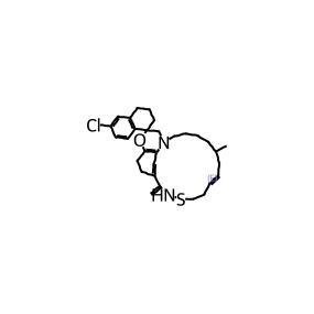 C=C1NSCC/C=C/CC(C)CCCCN2CC3(CCCc4cc(Cl)ccc43)OC3=C2C=C1CC3